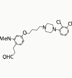 CNc1cc(OCCCCN2CCN(c3cccc(Cl)c3Cl)CC2)ccc1CCC=O